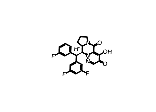 O=C1c2c(O)c(=O)cnn2[C@@H](C(c2cccc(F)c2)c2cc(F)cc(F)c2)[C@H]2CCCN12